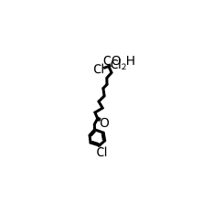 O=C(CCCCCCCCC(Cl)(Cl)C(=O)O)Cc1ccc(Cl)cc1